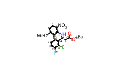 COc1ccc([N+](=O)[O-])c(N[C@H](CC(=O)OC(C)(C)C)c2c(Br)ccc(F)c2Cl)c1